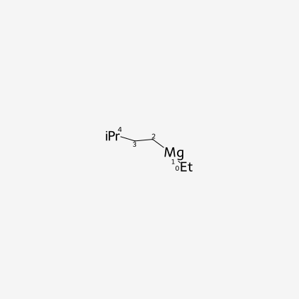 C[CH2][Mg][CH2]CC(C)C